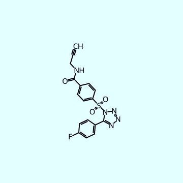 C#CCNC(=O)c1ccc(S(=O)(=O)n2nnnc2-c2ccc(F)cc2)cc1